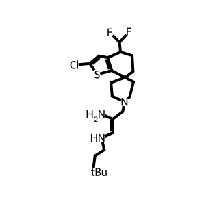 CC(C)(C)CCN/C=C(\N)CN1CCC2(CCC(C(F)F)c3cc(Cl)sc32)CC1